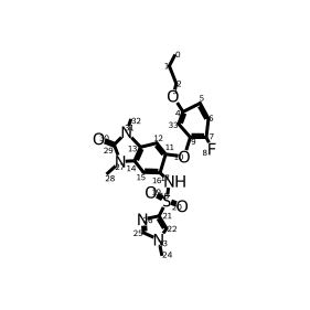 CCCOc1ccc(F)c(Oc2cc3c(cc2NS(=O)(=O)c2cn(C)cn2)n(C)c(=O)n3C)c1